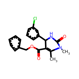 CC1=C(C(=O)OCc2ccccc2)C(c2cccc(Cl)c2)NC(=O)N1C